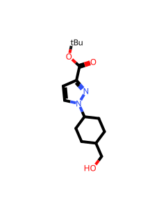 CC(C)(C)OC(=O)c1ccn(C2CCC(CO)CC2)n1